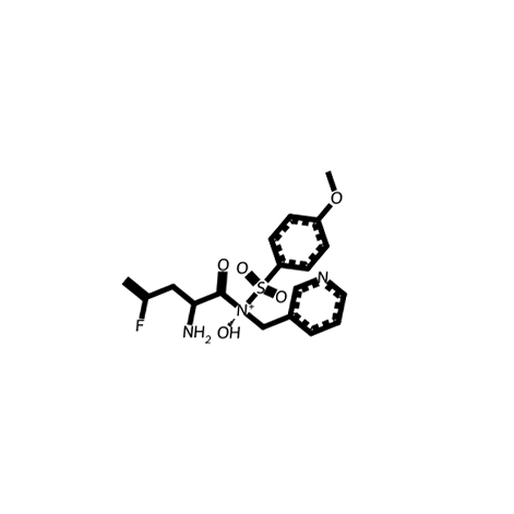 C=C(F)CC(N)C(=O)[N@+](O)(Cc1cccnc1)S(=O)(=O)c1ccc(OC)cc1